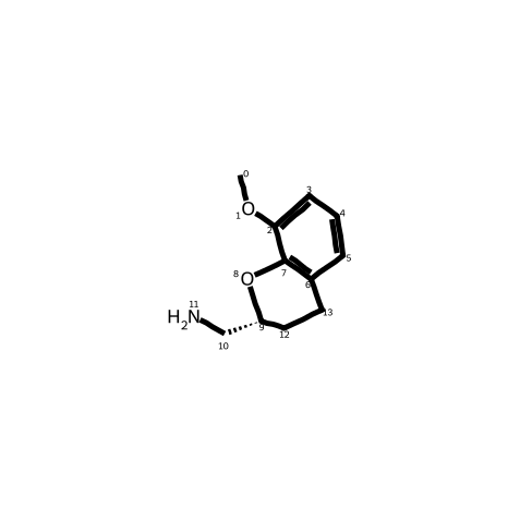 COc1cccc2c1O[C@@H](CN)CC2